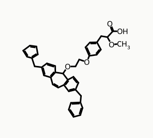 COC(Cc1ccc(OCCOC2c3ccc(Cc4ccccc4)cc3C=Cc3cc(Cc4ccccc4)ccc32)cc1)C(=O)O